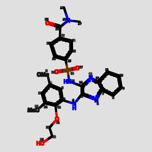 COc1cc(Nc2nc3ccccc3nc2NS(=O)(=O)c2ccc(C(=O)N(C)C)cc2)c(OCCO)c(OC)c1